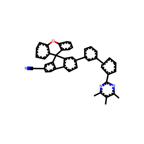 Cc1nc(-c2cccc(-c3cccc(-c4ccc5c(c4)C4(c6ccccc6Oc6ccccc64)c4cc(C#N)ccc4-5)c3)c2)nc(C)c1C